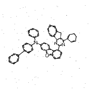 C1=CC(c2nc(-c3cccc4oc5cc(N(c6ccccc6)c6ccc(-c7ccccc7)cc6)ccc5c34)nc3c2Cc2ccccc2-3)=CCC1